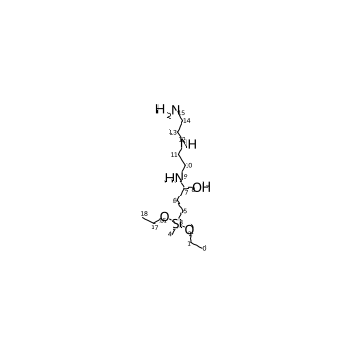 CCO[Si](C)(CCC(O)NCCNCCN)OCC